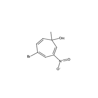 CC1(O)C=CC(Br)=CC([N+](=O)[O-])=C1